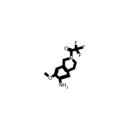 COc1cc2c(cc1N)CCN(C(=O)C(F)(F)F)C2